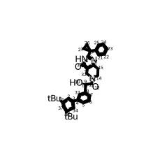 CC(C)(C)c1cc(-c2cccc([C@@H](O)C(=O)N3CCc4nc(C5(c6ccccc6)CC5)[nH]c(=O)c4C3)c2)cc(C(C)(C)C)c1